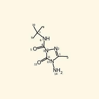 Cc1nn(C(=O)NC(C)(C)C)c(=O)n1N